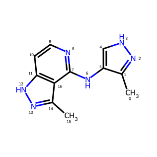 Cc1n[nH]cc1Nc1nccc2[nH]nc(C)c12